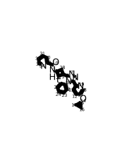 O=C(NC1CC(c2nnc(-c3ccc(OC4CC4)cn3)n2-c2ccccc2F)C1)c1ccccn1